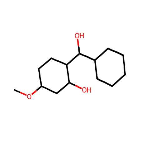 COC1CCC(C(O)C2CCCCC2)C(O)C1